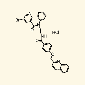 Cl.O=C(NCCN(C(=O)c1cncc(Br)c1)c1ccccc1)c1ccc(OCc2ccc3ccccc3n2)cc1